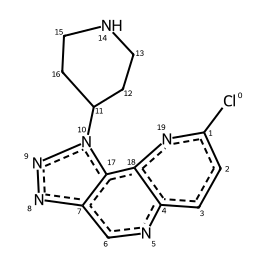 Clc1ccc2ncc3nnn(C4CCNCC4)c3c2n1